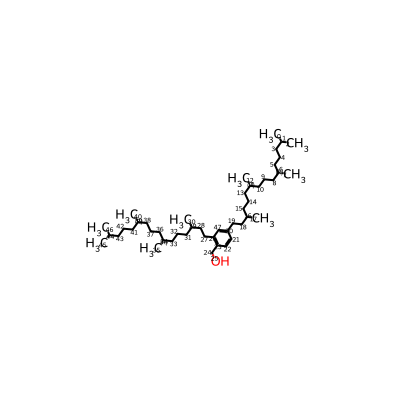 CC(C)CCC[C@@H](C)CCC[C@@H](C)CCCC(C)CCc1ccc(CO)c(CCC(C)CCC[C@H](C)CCC[C@H](C)CCCC(C)C)c1